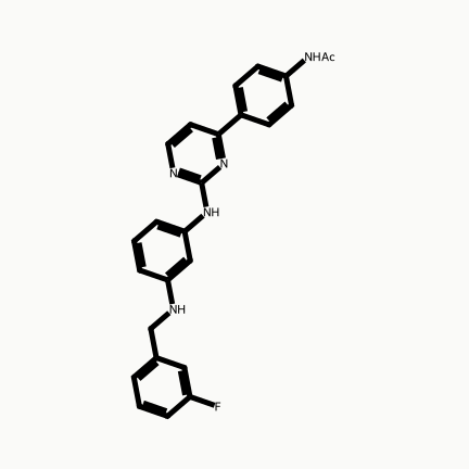 CC(=O)Nc1ccc(-c2ccnc(Nc3cccc(NCc4cccc(F)c4)c3)n2)cc1